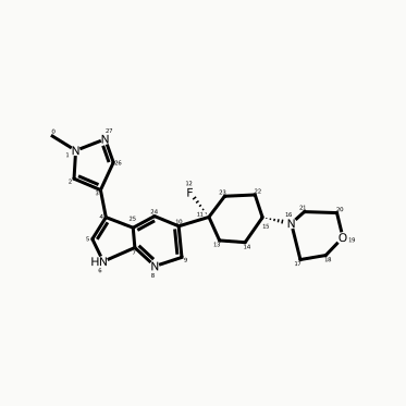 Cn1cc(-c2c[nH]c3ncc([C@]4(F)CC[C@@H](N5CCOCC5)CC4)cc23)cn1